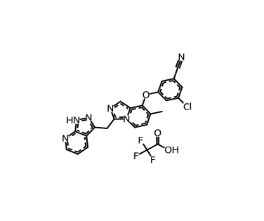 Cc1ccn2c(Cc3n[nH]c4ncccc34)ncc2c1Oc1cc(Cl)cc(C#N)c1.O=C(O)C(F)(F)F